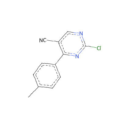 Cc1ccc(-c2nc(Cl)ncc2C#N)cc1